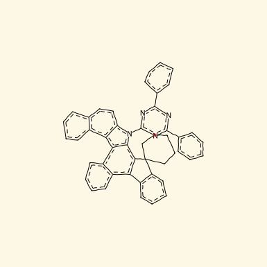 c1ccc(-c2nc(-c3ccccc3)nc(-n3c4ccc5ccccc5c4c4c5ccccc5c5c(c43)C3(CCCCC3)c3ccccc3-5)n2)cc1